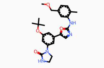 COCc1ccc(C)c(Nc2ncc(-c3cc(OC(C)(C)C)cc(N4CCNC4=O)c3)o2)c1